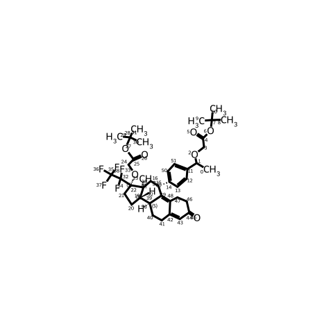 CC(OCC(=O)OC(C)(C)C)c1ccc([C@H]2C[C@@]3(C)[C@@H](CC[C@@]3(OCC(=O)OC(C)(C)C)C(F)(F)C(F)(F)F)[C@@H]3CCC4=CC(=O)CCC4=C32)cc1